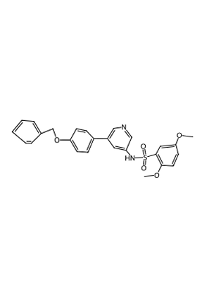 COc1ccc(OC)c(S(=O)(=O)Nc2cncc(-c3ccc(OCc4ccccc4)cc3)c2)c1